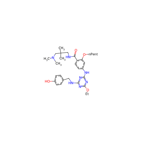 CCCCCOc1cc(Nc2nc(NCc3ccc(O)cc3)nc(OCC)n2)ccc1C(=O)NCC(C)(C)CN(C)C